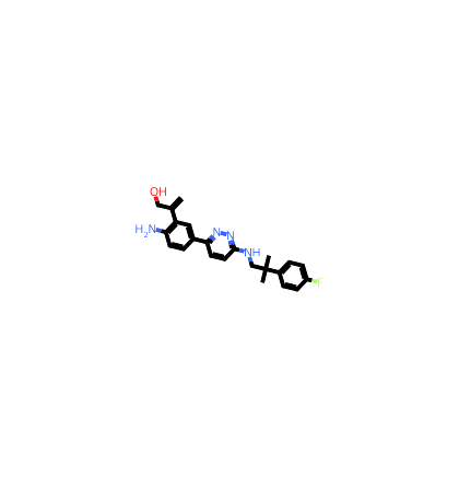 C=C(CO)c1cc(-c2ccc(NCC(C)(C)c3ccc(F)cc3)nn2)ccc1N